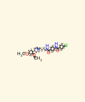 CCOc1ccc(C2CCN(CCCCNC(=O)c3ccc(NC(=O)c4ccc(Cl)cc4)cc3)CC2)c(OCC)c1